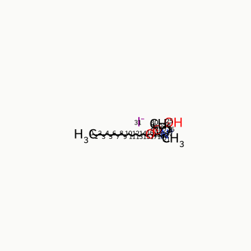 CCCCCCCCCCCCCCCCOCC(C[N+]1(C)CCC(O)CC1)OCC.[I-]